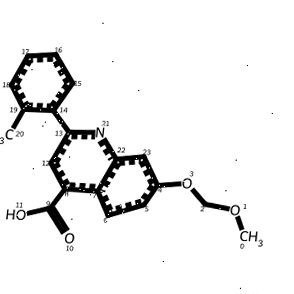 COCOc1ccc2c(C(=O)O)cc(-c3ccccc3C)nc2c1